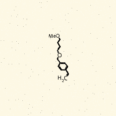 C=Cc1ccc(COCCCCOC)cc1